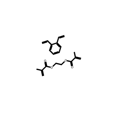 C=C(C)C(=O)OCCOC(=O)C(=C)C.C=Cc1ccccc1C=C